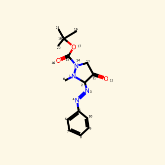 CN1C(N=Nc2ccccc2)C(=O)CN1C(=O)OC(C)(C)C